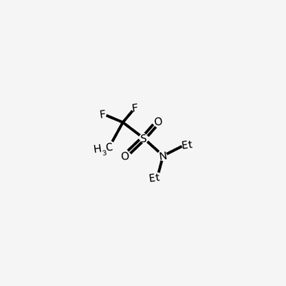 CCN(CC)S(=O)(=O)C(C)(F)F